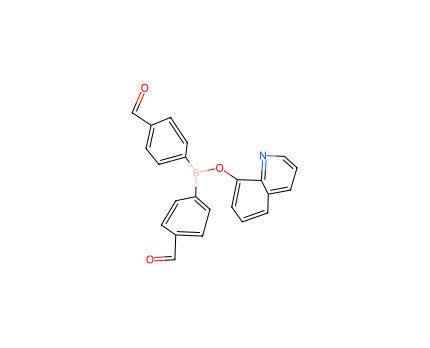 O=Cc1ccc(B(Oc2cccc3cccnc23)c2ccc(C=O)cc2)cc1